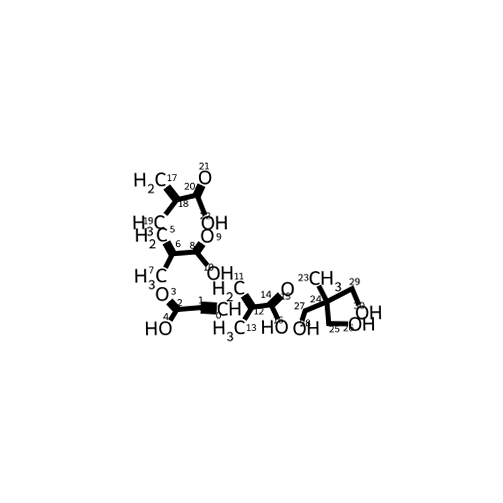 C#CC(=O)O.C=C(C)C(=O)O.C=C(C)C(=O)O.C=C(C)C(=O)O.CC(CO)(CO)CO